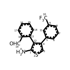 Nc1scc(-c2cccc(C(F)(F)F)c2)c1-c1ccccc1C=O